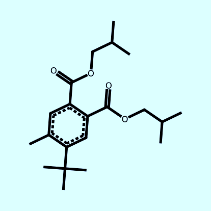 Cc1cc(C(=O)OCC(C)C)c(C(=O)OCC(C)C)cc1C(C)(C)C